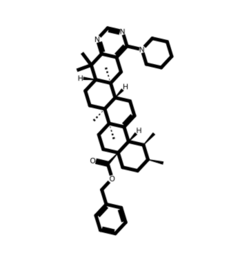 C[C@@H]1[C@H]2C3=CC[C@H]4[C@]5(C)Cc6c(N7CCCCC7)ncnc6C(C)(C)[C@H]5CC[C@]4(C)[C@]3(C)CC[C@@]2(C(=O)OCc2ccccc2)CC[C@@H]1C